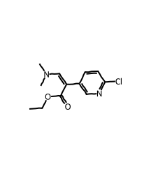 CCOC(=O)C(=CN(C)C)c1ccc(Cl)nc1